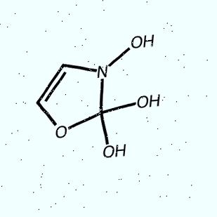 ON1C=COC1(O)O